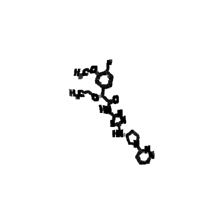 CCO[C@@H](C(=O)Nc1nnc(N[C@@H]2CCN(c3cccnn3)C2)s1)c1ccc(F)c(OC)c1